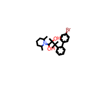 CC1CCCC(C)N1C(O)C(C)(O)C(C)(C)c1ccccc1-c1ccc(Br)cc1